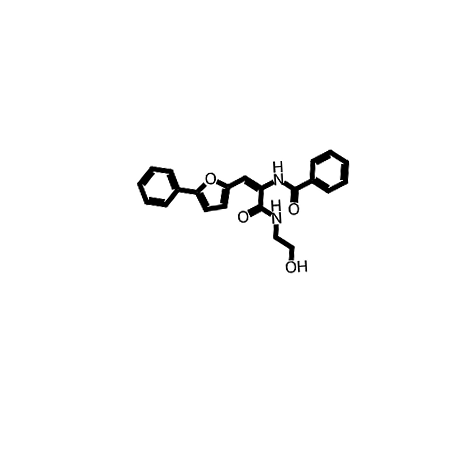 O=C(NCCO)/C(=C\c1ccc(-c2ccccc2)o1)NC(=O)c1ccccc1